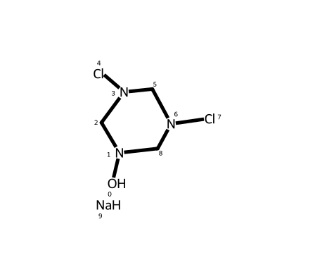 ON1CN(Cl)CN(Cl)C1.[NaH]